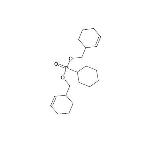 O=P(OCC1C=CCCC1)(OCC1C=CCCC1)C1CCCCC1